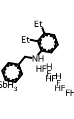 CCc1cccc(NCc2ccccc2)c1CC.F.F.F.F.F.F.[SbH3]